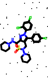 O=C(NN1CCCCC1)c1nn(-c2ccc(Cl)cc2Cl)c(-c2ccc(Cl)cc2)c1CN(N1CCCCC1)[SH](=O)=O